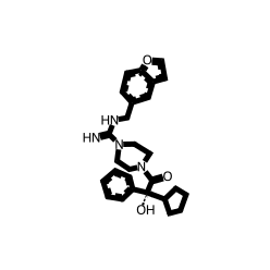 N=C(NCc1ccc2occc2c1)N1CCN(C(=O)[C@](O)(c2ccccc2)C2CCCC2)CC1